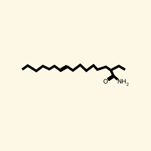 CCCCCCC=CCCCCCCC(CC)C(N)=O